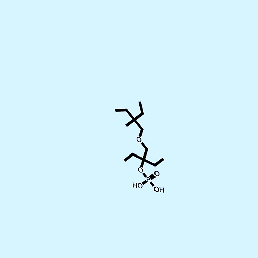 CCC(C)(CC)COCC(CC)(CC)OP(=O)(O)O